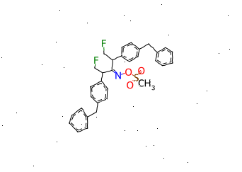 CS(=O)(=O)ON=C(C(CF)c1ccc(Cc2ccccc2)cc1)C(CF)c1ccc(Cc2ccccc2)cc1